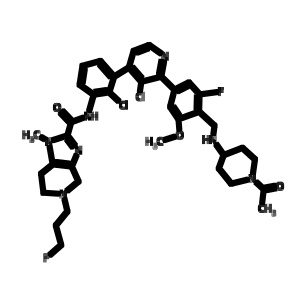 COc1cc(-c2nccc(-c3cccc(NC(=O)c4nc5c(n4C)CCN(CCCF)C5)c3Cl)c2Cl)cc(F)c1CNC1CCN(C(C)=O)CC1